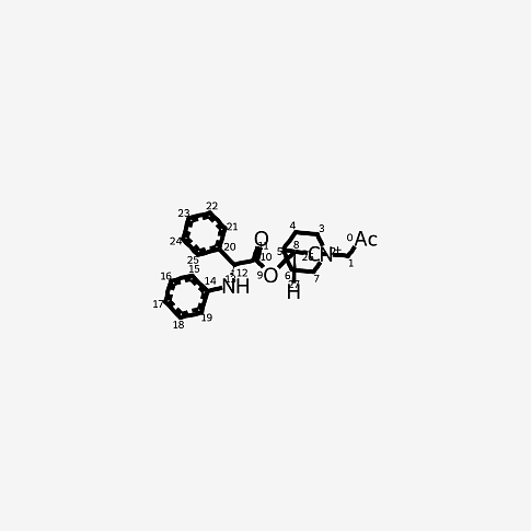 CC(=O)C[N+]12CCC(CC1)[C@@H](OC(=O)[C@H](Nc1ccccc1)c1ccccc1)C2